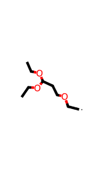 [CH2]COCCC(OCC)OCC